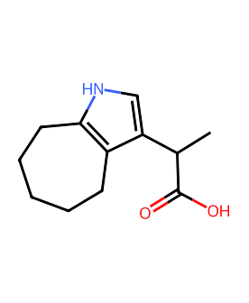 CC(C(=O)O)c1c[nH]c2c1CCCCC2